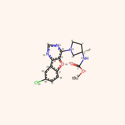 CC(C)(C)OC(=O)N[C@]1(C)CCN(c2ncnc3c2oc2ccc(Cl)cc23)C1